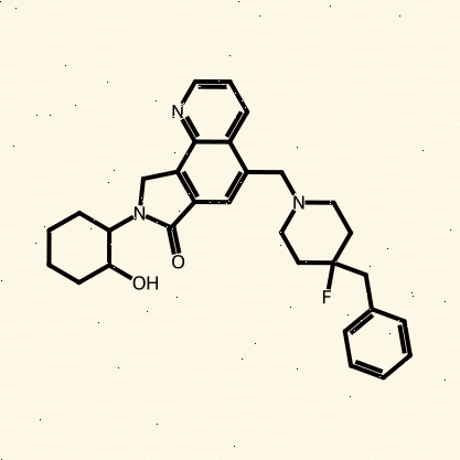 O=C1c2cc(CN3CCC(F)(Cc4ccccc4)CC3)c3cccnc3c2CN1C1CCCCC1O